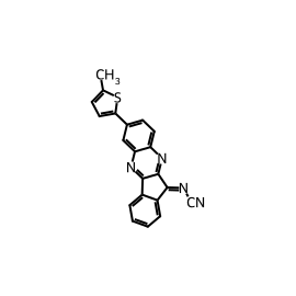 Cc1ccc(-c2ccc3nc4c(nc3c2)-c2ccccc2/C4=N\C#N)s1